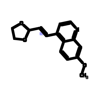 COc1ccc2c(/C=C/C3OCCO3)ccnc2c1